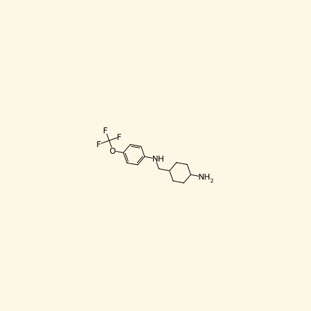 NC1CCC(CNc2ccc(OC(F)(F)F)cc2)CC1